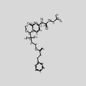 C=C(CCc1ccccc1)OCCC(F)(F)C(OC)n1ccc(NC(=O)OCC(C)C)nc1=O